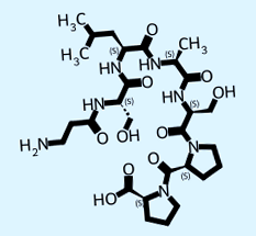 CC(C)C[C@H](NC(=O)[C@H](CO)NC(=O)CCN)C(=O)N[C@@H](C)C(=O)N[C@@H](CO)C(=O)N1CCC[C@H]1C(=O)N1CCC[C@H]1C(=O)O